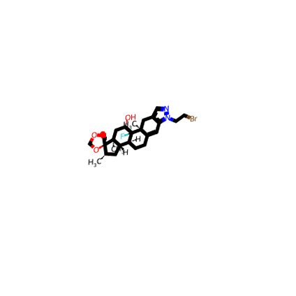 C[C@H]1C[C@H]2[C@@H]3CCC4=Cc5c(cnn5CCBr)C[C@]4(C)[C@@]3(F)[C@@H](O)C[C@]2(C)[C@]12OCOC21COCO1